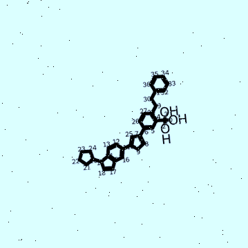 OC(O)(O)c1cc(C2=CCC(c3ccc4c(c3)C=CC4C3CCCC3)=C2)ccc1CCc1ccccc1